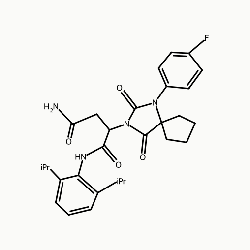 CC(C)c1cccc(C(C)C)c1NC(=O)C(CC(N)=O)N1C(=O)N(c2ccc(F)cc2)C2(CCCC2)C1=O